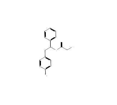 NCC(=O)NC(Cc1ccc(O)cc1)c1ccccc1